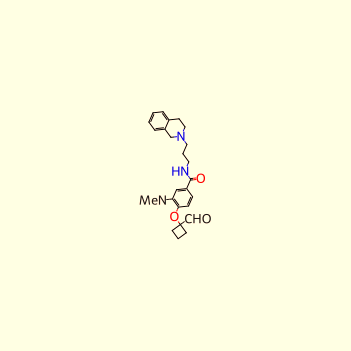 CNc1cc(C(=O)NCCCN2CCc3ccccc3C2)ccc1OC1(C=O)CCC1